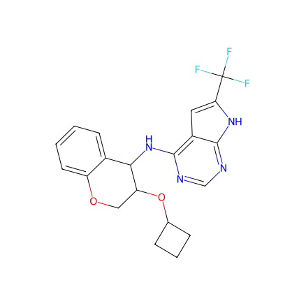 FC(F)(F)c1cc2c(NC3c4ccccc4OCC3OC3CCC3)ncnc2[nH]1